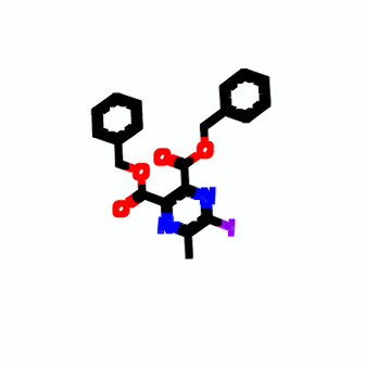 Cc1nc(C(=O)OCc2ccccc2)c(C(=O)OCc2ccccc2)nc1I